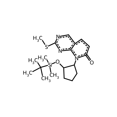 CSc1ncc2ccc(=O)n(C3CCCC3O[Si](C)(C)C(C)(C)C)c2n1